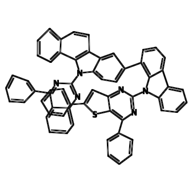 c1ccc(-c2cc3nc(-n4c5ccccc5c5cccc(-c6ccc7c(c6)c6ccc8ccccc8c6n7-c6nc(-c7ccccc7)c7ccccc7n6)c54)nc(-c4ccccc4)c3s2)cc1